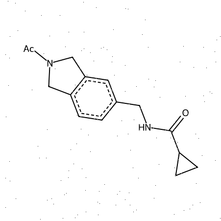 CC(=O)N1Cc2ccc(CNC(=O)C3CC3)cc2C1